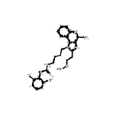 COCCc1nc2c(N)nc3ccccc3c2n1CCCCNC(=O)Nc1c(Cl)cccc1Cl